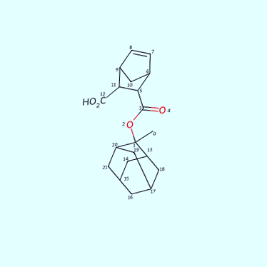 CC1(OC(=O)C2C3C=CC(C3)C2C(=O)O)C2CC3CC(C2)CC1C3